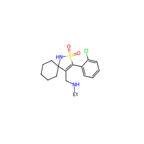 CCNCC1=C(c2ccccc2Cl)S(=O)(=O)NC12CCCCC2